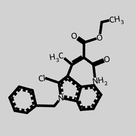 CCOC(=O)C(C(N)=O)=C(C)c1c(Cl)n(Cc2ccccc2)c2ccccc12